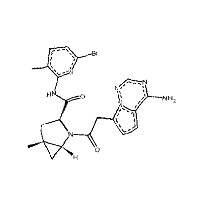 Cc1ccc(Br)nc1NC(=O)[C@@H]1C[C@@]2(C)C[C@H]2N1C(=O)Cc1ccc2c(N)ncnn12